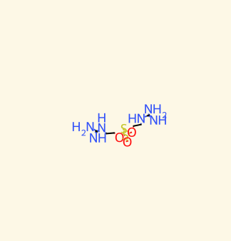 N=C(N)NCCOS(=O)(=S)OCCNC(=N)N